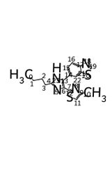 CCCCc1nc(-c2nc(C)cs2)c(-c2ccc3ncsc3c2)[nH]1